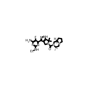 CCNc1nc(N)c(F)c(-c2n[nH]c3c2CN(C(=O)N2C[C@@H]4CCCN4C[C@@H]2C)C3(C)C)n1